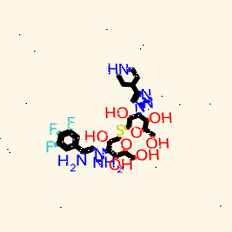 N/C(=C\N(N)C1C(O)C(CO)OC(SC2OC(CO)C(O)C(n3cc(C4CCNCC4)nn3)C2O)C1O)c1cc(F)c(F)c(F)c1